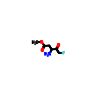 COC(=O)CC(N)C(=O)CF